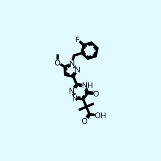 COc1cc(-c2nnc(C(C)(C)C(=O)O)c(=O)[nH]2)nn1Cc1ccccc1F